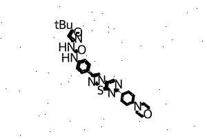 CC(C)(C)c1cc(NC(=O)Nc2ccc(-c3cn4c(n3)sc3nc([C@H]5CC[C@@H](N6CCOCC6)CC5)ncc34)cc2)no1